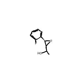 CC(O)C1O[C@@H]1c1ccccc1F